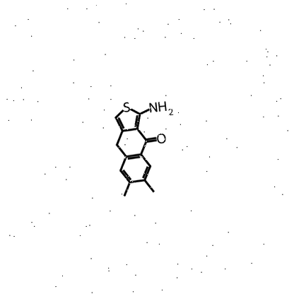 Cc1cc2c(cc1C)C(=O)c1c(csc1N)C2